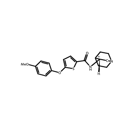 COc1ccc(Oc2ccc(C(=O)N[C@H]3CN4CCC3CC4)s2)cc1